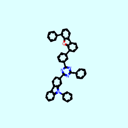 c1ccc(-c2nc(-c3cccc(-c4cccc5c4oc4c(-c6ccccc6)cccc45)c3)nc(-c3ccc4c5ccccc5n(-c5ccccc5)c4c3)n2)cc1